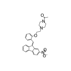 CC(=O)N1CCN(CCOc2ccccc2C=C2c3ccccc3-c3ccc([N+](=O)[O-])cc32)CC1